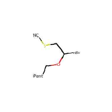 CCCCC(CSC#N)OCC(C)CCC